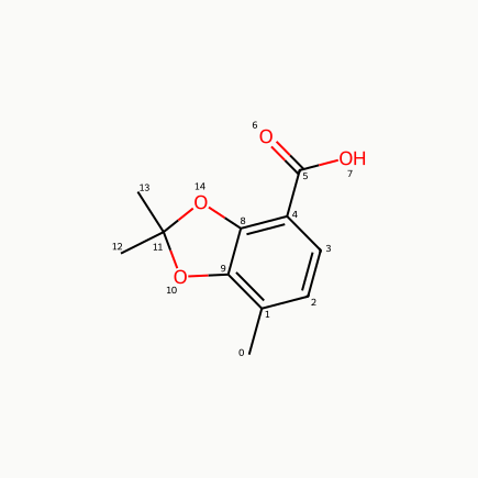 Cc1ccc(C(=O)O)c2c1OC(C)(C)O2